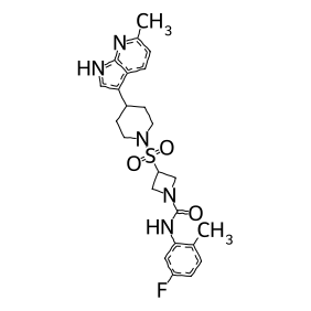 Cc1ccc2c(C3CCN(S(=O)(=O)C4CN(C(=O)Nc5cc(F)ccc5C)C4)CC3)c[nH]c2n1